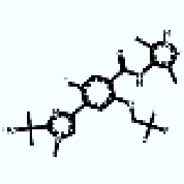 Cc1n[nH]c(C)c1NC(=O)c1cc(F)c(-c2cn(C)c(C(C)(C)O)n2)cc1OCC(F)(F)F